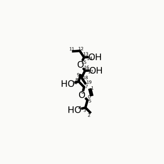 C=C.CC(O)COCC(C)O.CCC(O)OC(O)CC